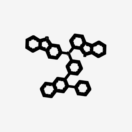 c1ccc(-c2cc3ccccc3cc2-c2cccc(N(c3ccc4c(c3)oc3ccccc34)c3cccc4c3sc3ccccc34)c2)cc1